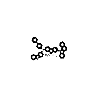 CC1(C)c2cc(N(c3ccc(-c4ccccc4)cc3)c3ccc4oc5ccccc5c4c3)ccc2-c2ccc(-n3c4ccccc4c4ccc5ccccc5c43)cc21